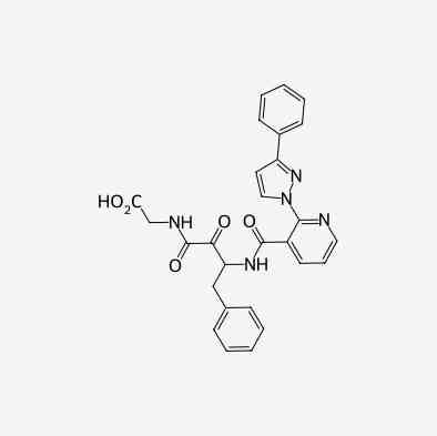 O=C(O)CNC(=O)C(=O)C(Cc1ccccc1)NC(=O)c1cccnc1-n1ccc(-c2ccccc2)n1